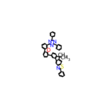 CC1(C)c2ccc(-c3cccc4c3oc3c(-c5nc(-c6ccccc6)nc(-c6ccccc6)n5)cccc34)cc2-c2cc3nc(-c4ccccc4)sc3cc21